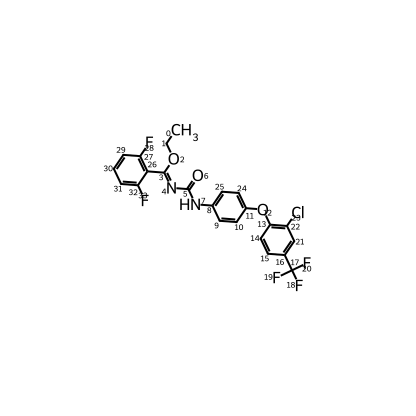 CCOC(=NC(=O)Nc1ccc(Oc2ccc(C(F)(F)F)cc2Cl)cc1)c1c(F)cccc1F